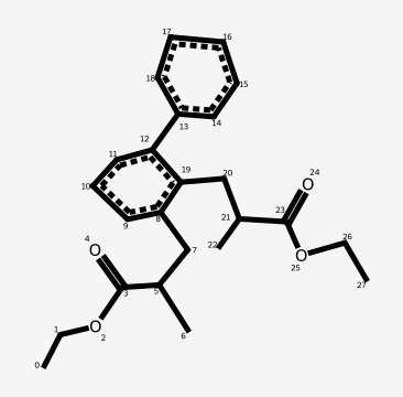 CCOC(=O)C(C)Cc1cccc(-c2ccccc2)c1CC(C)C(=O)OCC